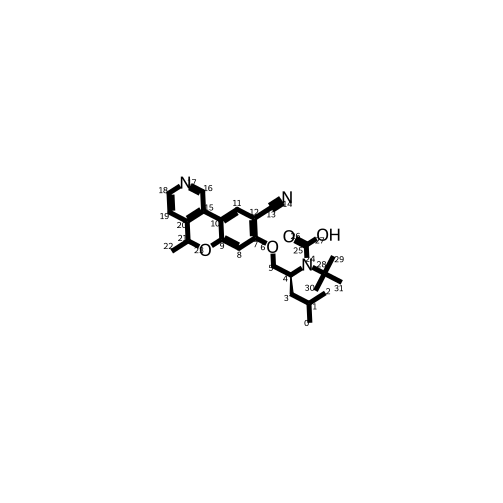 CC(C)C[C@@H](COc1cc2c(cc1C#N)-c1cnccc1C(C)O2)N(C(=O)O)C(C)(C)C